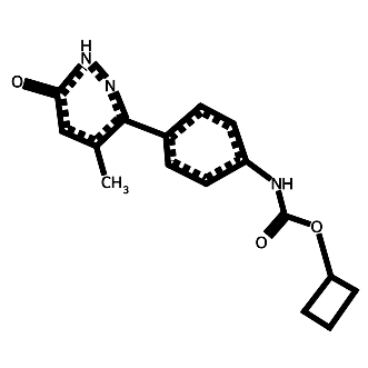 Cc1cc(=O)[nH]nc1-c1ccc(NC(=O)OC2CCC2)cc1